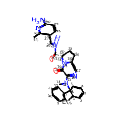 CCC1C=CC=CC1(c1ccccc1)N(C)c1ncc2n(c1=O)[C@H](C(=O)NCc1ccc(N)nc1C)CC2